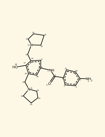 Nc1ccc(C(=O)Nc2cc(CN3CCCC3)c(O)c(CN3CCCC3)c2)cc1